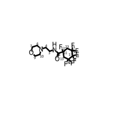 O=C(NCCN1CCOCC1)C1(F)CC(F)(F)C(F)(F)C(F)(F)C1